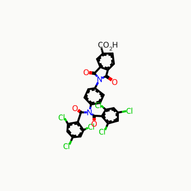 O=C(O)c1ccc2c(c1)C(=O)N(c1ccc(N(C(=O)c3c(Cl)cc(Cl)cc3Cl)C(=O)c3c(Cl)cc(Cl)cc3Cl)cc1)C2=O